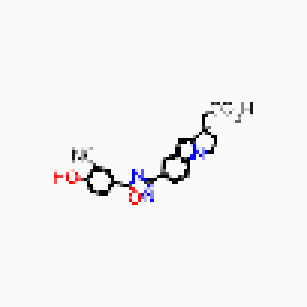 N#Cc1cc(-c2nc(-c3ccc4c(c3)cc3n4CC[C@@H]3CC(=O)O)no2)ccc1O